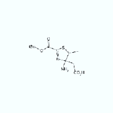 CC1SC(C(=O)OC(C)(C)C)=NC1(N)CC(=O)O